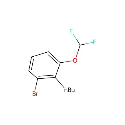 C[CH]CCc1c(Br)cccc1OC(F)F